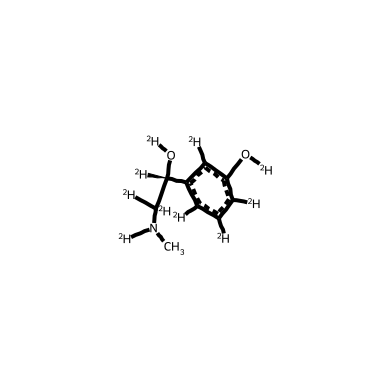 [2H]Oc1c([2H])c([2H])c([2H])c([C@@]([2H])(O[2H])C([2H])([2H])N([2H])C)c1[2H]